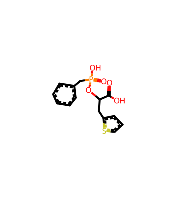 O=C(O)C(Cc1cccs1)OP(=O)(O)Cc1ccccc1